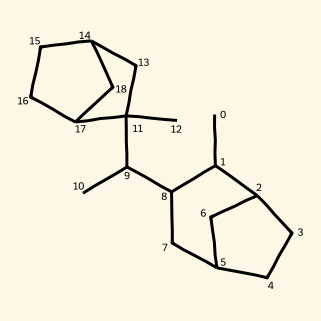 CC1C2CCC(C2)CC1C(C)C1(C)CC2CCC1C2